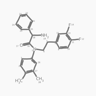 Cc1ccc(N(CCc2ccc(F)c(F)c2)C(=O)C(N)c2ccccc2)cc1C